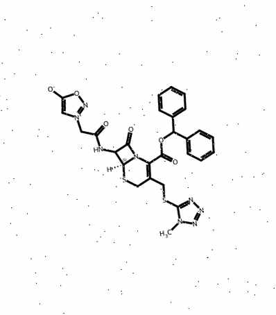 Cn1nnnc1SCC1=C(C(=O)OC(c2ccccc2)c2ccccc2)N2C(=O)C(NC(=O)C[n+]3cc([O-])on3)[C@@H]2SC1